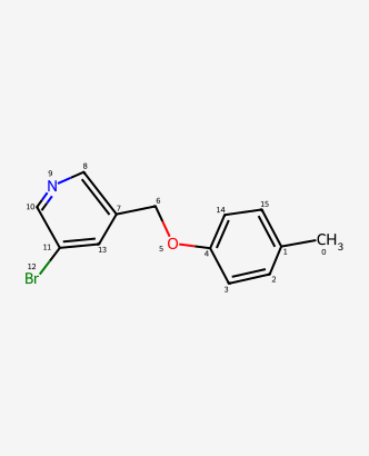 Cc1ccc(OCc2cncc(Br)c2)cc1